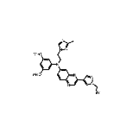 COc1cc(OC)cc(N(CCn2cnc(C)n2)c2ccc3ncc(-c4cnn(CC(C)C)c4)nc3c2)c1